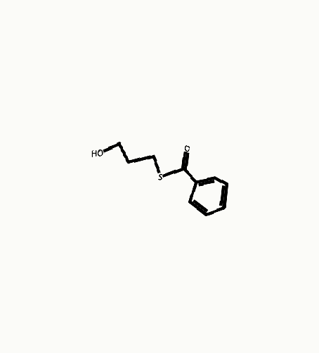 O=C(SCCCO)c1ccccc1